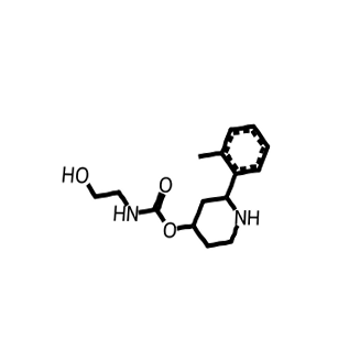 Cc1ccccc1C1CC(OC(=O)NCCO)CCN1